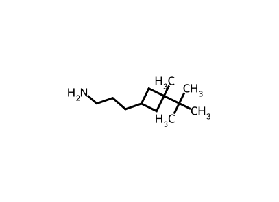 CC(C)(C)C1(C)CC(CCCN)C1